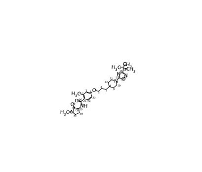 Cc1cc(OCCCC2CCN(c3nc(C(C)(C)C)no3)CC2)ccc1C(=O)N[C@H]1CCN(C)C1=O